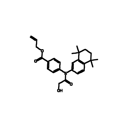 C=CCOC(=O)c1ccc(N(C(=O)CO)c2ccc3c(c2)C(C)(C)CCC3(C)C)cc1